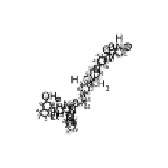 CCc1cccc2cc(O)cc(-c3ncc4c(N5CC6CCC(C5)N6)nc(OCC5(CN6CCC(C(C)(C)N7CCN(c8ccc9c(c8)CN(C8CCC(=O)NC8=O)C9=O)CC7)CC6)CC5)nc4c3F)c12